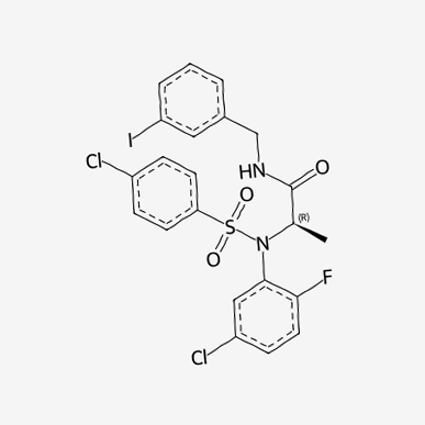 C[C@H](C(=O)NCc1cccc(I)c1)N(c1cc(Cl)ccc1F)S(=O)(=O)c1ccc(Cl)cc1